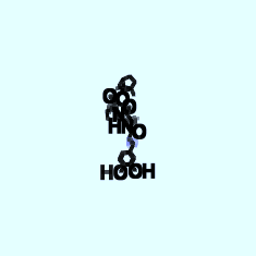 C[C@H](NC(=O)/C=C/c1ccc(O)c(O)c1)C(=O)N1CCC[C@H]1C(=O)OC1CC2CCC1(C)C2(C)C